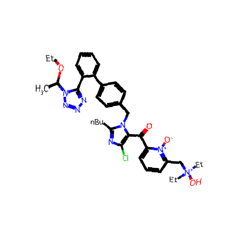 CCCCc1nc(Cl)c(C(=O)c2cccc(C[N+](O)(CC)CC)[n+]2[O-])n1Cc1ccc(-c2ccccc2-c2nnnn2C(C)OCC)cc1